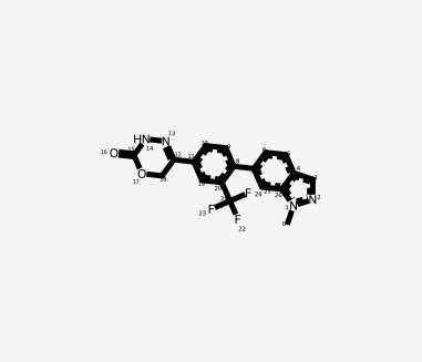 Cn1ncc2ccc(-c3ccc(C4=NNC(=O)OC4)cc3C(F)(F)F)cc21